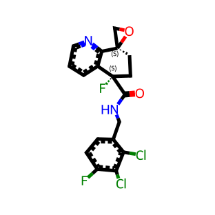 O=C(NCc1ccc(F)c(Cl)c1Cl)[C@]1(F)CC[C@@]2(CO2)c2ncccc21